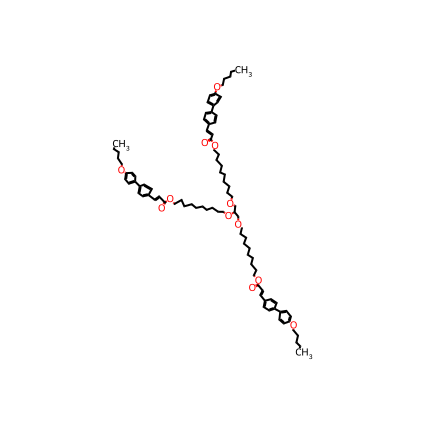 CCCCCOc1ccc(-c2ccc(C=CC(=O)OCCCCCCCCCCOCC(COCCCCCCCCCCOC(=O)C=Cc3ccc(-c4ccc(OCCCCC)cc4)cc3)OCCCCCCCCCCOC(=O)C=Cc3ccc(-c4ccc(OCCCCC)cc4)cc3)cc2)cc1